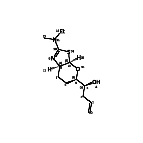 C=CC[C@H](O)[C@H]1CC[C@H]2N=C(N(C)CC)S[C@H]2O1